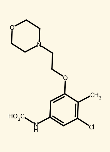 Cc1c(Cl)cc(NC(=O)O)cc1OCCN1CCOCC1